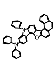 C1=CCC(N(c2ccccc2)c2ccc3c4c5oc6ccc7ccc8ccccc8c7c6c5ccc4n(-c4ccccc4)c3c2)C=C1